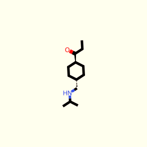 CCC(=O)[C@H]1CC[C@H](CNC(C)C)CC1